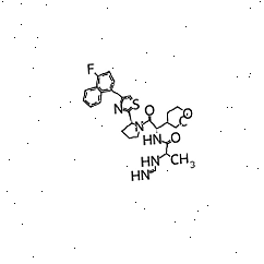 CC(NC=N)C(=O)N[C@H](C(=O)N1CCC[C@H]1c1nc(-c2ccc(F)c3ccccc23)cs1)C1CCOCC1